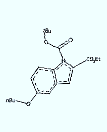 CCCCOc1ccc2c(c1)cc(C(=O)OCC)n2C(=O)OC(C)(C)C